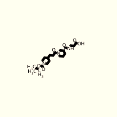 CC(C)(C)OC(=O)N1CCC(CCC(=O)N2CCC[C@@H](C(=O)NCCC(=O)O)C2)CC1